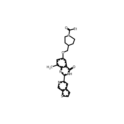 CCC(=O)N1CCC(COc2cc(C)c3nc(-c4cc5ccsc5cn4)[nH]c(=O)c3c2)CC1